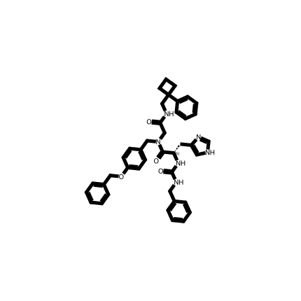 O=C(CN(Cc1ccc(OCc2ccccc2)cc1)C(=O)[C@H](Cc1c[nH]cn1)NC(=O)NCc1ccccc1)NCC1(c2ccccc2)CCC1